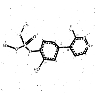 CCCSP(=O)(OCC)Oc1ccc(-c2ccnnc2Cl)cc1O